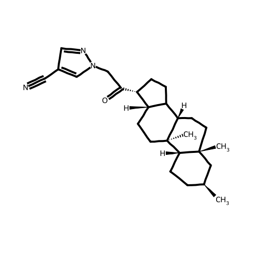 C[C@H]1CC[C@H]2[C@](C)(CC[C@H]3C4CC[C@@H](C(=O)Cn5cc(C#N)cn5)[C@H]4CC[C@@]32C)C1